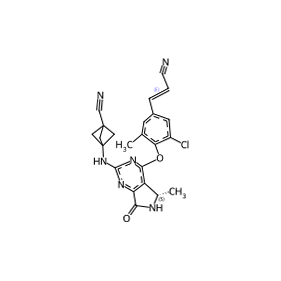 Cc1cc(/C=C/C#N)cc(Cl)c1Oc1nc(NC23CC(C#N)(C2)C3)nc2c1[C@H](C)NC2=O